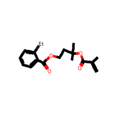 C=C(C)C(=O)OC(C)(C)CCOC(=O)c1ccccc1CC